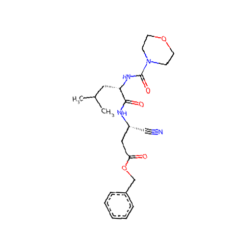 CC(C)C[C@H](NC(=O)N1CCOCC1)C(=O)N[C@H](C#N)CC(=O)OCc1ccccc1